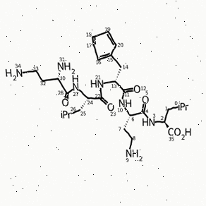 CC(C)C[C@H](NC(=O)[C@H](CCN)NC(=O)[C@@H](Cc1ccccc1)NC(=O)[C@H](CC(C)C)NC(=O)[C@@H](N)CCN)C(=O)O